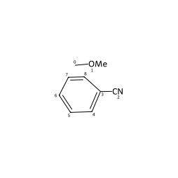 COC.N#Cc1ccccc1